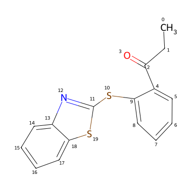 CCC(=O)c1ccccc1Sc1nc2ccccc2s1